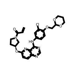 C=CC(=O)N1CC[C@H](Oc2ccc3ncnc(Nc4ccc(OCC5OCCCO5)c(Cl)c4)c3n2)C1